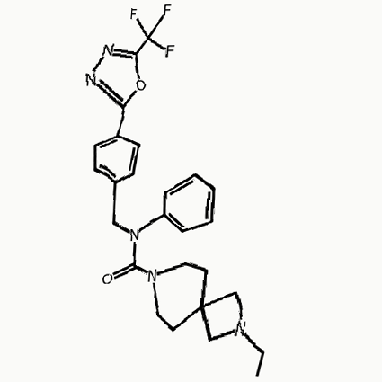 CCN1CC2(CCN(C(=O)N(Cc3ccc(-c4nnc(C(F)(F)F)o4)cc3)c3ccccc3)CC2)C1